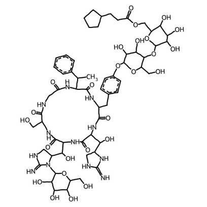 CC(c1ccccc1)C1NC(=O)CNC(=O)C(CO)NC(=O)C(C(O)C2CNC(=N)N2C2OC(CO)C(O)C(O)C2O)NC(=O)C(C(O)C2CNC(=N)N2)NC(=O)C(Cc2ccc(OC3OC(CO)C(OC4OC(COC(=O)CCC5CCCC5)C(O)C(O)C4O)C(O)C3O)cc2)NC1=O